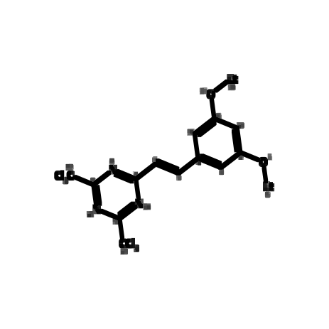 CCOc1cc(C=Cc2nc(C(Cl)(Cl)Cl)nc(C(Cl)(Cl)Cl)n2)cc(OCC)c1